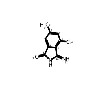 Cc1cc(Cl)c2c(c1)C(=O)NC2=N